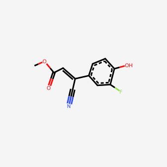 COC(=O)C=C(C#N)c1ccc(O)c(F)c1